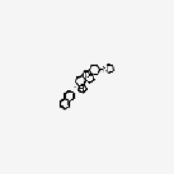 C[C@]12CC=C3C=C4CC[C@@H](N5CCCC5)C[C@]45CCC3(O5)[C@@H]1CC[C@@H]2c1ccc2ccccc2c1